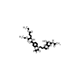 CCOC(=O)CCC(NC(=O)c1ccc(N(CCc2cnc3nc(NC(C)=O)nc(O)c3n2)C(=O)C(F)(F)F)cc1)C(=O)OCC